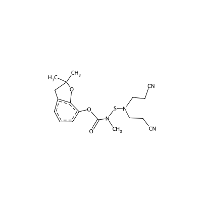 CN(SN(CCC#N)CCC#N)C(=O)Oc1cccc2c1OC(C)(C)C2